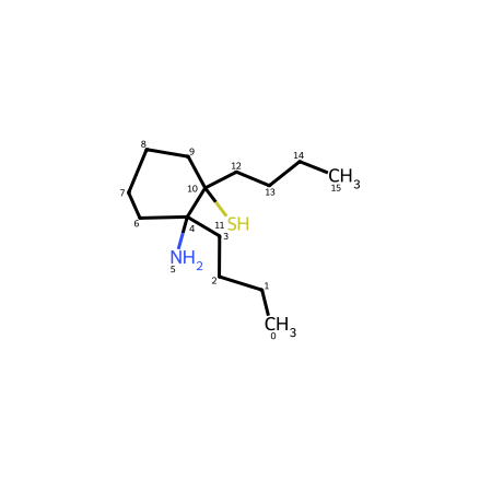 CCCCC1(N)CCCCC1(S)CCCC